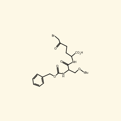 CC(C)(C)OCC(NC(=O)OCc1ccccc1)C(=O)NC(CCC(=O)CBr)C(=O)O